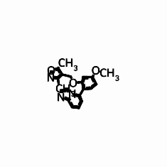 COc1ccc(-c2cccc3nccn23)c(OCc2c(C)noc2C)c1